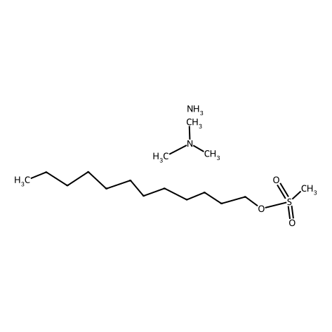 CCCCCCCCCCCCOS(C)(=O)=O.CN(C)C.N